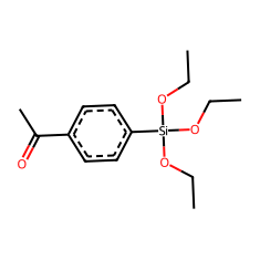 CCO[Si](OCC)(OCC)c1ccc(C(C)=O)cc1